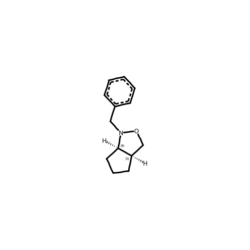 c1ccc(CN2OC[C@H]3CCC[C@H]32)cc1